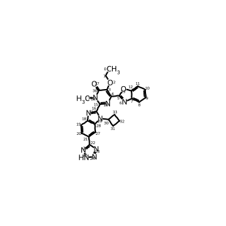 CCOc1c(-c2nc3ccccc3o2)nc(-c2nc3ccc(-c4nn[nH]n4)cc3n2C2CCC2)n(C)c1=O